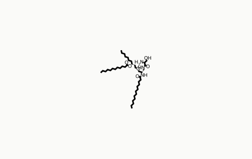 CCCCCCCCCCCCCC(=O)N[C@@H](CNC(=O)[C@@H](N)CO)COCC[C@@H](CCCCCCC)OC(=O)CCCCCCCCCCC